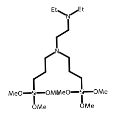 CCN(CC)CCN(CCC[Si](OC)(OC)OC)CCC[Si](OC)(OC)OC